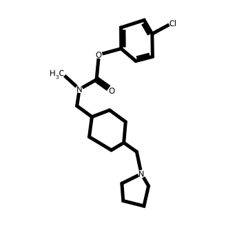 CN(CC1CCC(CN2CCCC2)CC1)C(=O)Oc1ccc(Cl)cc1